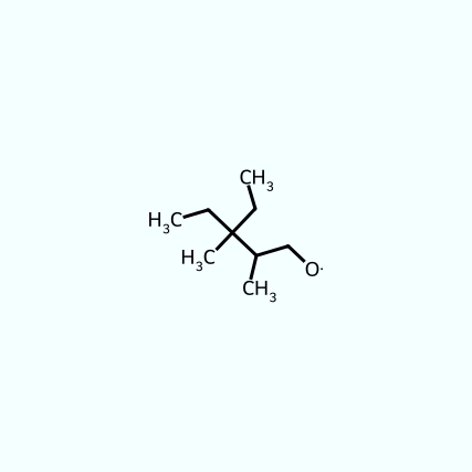 CCC(C)(CC)C(C)C[O]